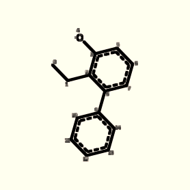 CCc1c([O])cccc1-c1ccccc1